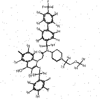 [2H]C1=C(SC([2H])([2H])c2c([2H])c([2H])c([2H])c(F)c2F)N(CC(=O)N(C2CCN(C([2H])([2H])COC([2H])([2H])[2H])CC2)C([2H])([2H])c2c([2H])c([2H])c(-c3c([2H])c([2H])c(C(F)(F)F)c([2H])c3[2H])c([2H])c2[2H])c2c([2H])c([2H])c(C)c([2H])c2C1O